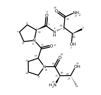 C[C@@H](O)[C@H](NC(=O)[C@@H]1CCCN1C(=O)C1CCCN1C(=O)[C@H](N)[C@@H](C)O)C(N)=O